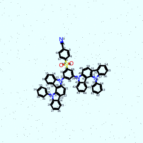 N#Cc1ccc(S(=O)(=O)c2cc(-n3c4ccccc4c4c3ccc3c5ccccc5n(-c5ccccc5)c34)cc(-n3c4ccccc4c4c3ccc3c5ccccc5n(-c5ccccc5)c34)c2)cc1